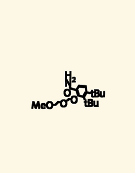 COCCOCOc1c(C(N)=O)ccc(C(C)(C)C)c1C(C)(C)C